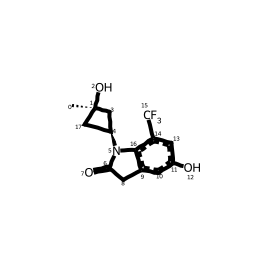 C[C@]1(O)C[C@@H](N2C(=O)Cc3cc(O)cc(C(F)(F)F)c32)C1